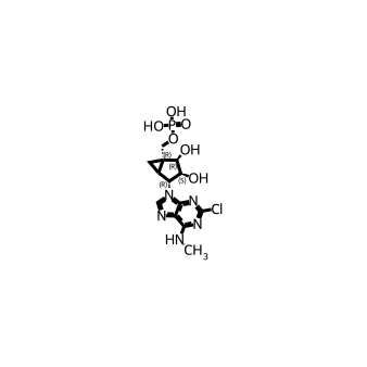 CNc1nc(Cl)nc2c1ncn2[C@@H]1C2C[C@@]2(COP(=O)(O)O)[C@@H](O)[C@H]1O